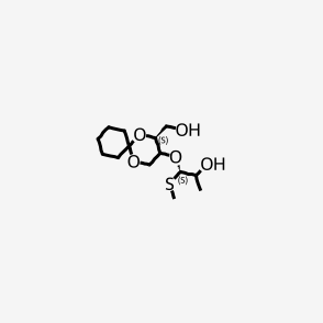 CS[C@H](OC1COC2(CCCCC2)O[C@H]1CO)C(C)O